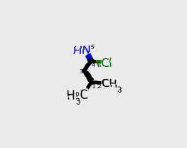 CC(C)=CC(=N)Cl